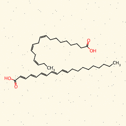 CC/C=C\C/C=C\C/C=C\CCCCCCCC(=O)O.CCCCCCCCCC=CC=CC=CC=CC=CC(=O)O